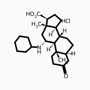 C[C@]12CCC(=O)C[C@@H]1CC[C@@H]1[C@@H]2[C@H](NC2CCCCC2)C[C@]2(C)[C@@H](C(=O)O)CC[C@@H]12.Cl